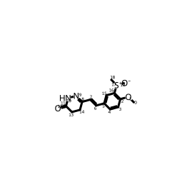 COc1ccc(C=CC2=NNC(=O)CC2)cc1[S+](C)[O-]